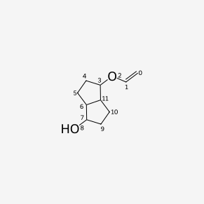 C=COC1CCC2C(O)CCC12